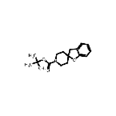 CC(C)(C)OC(=O)N1CCC2(CC1)Cc1ccccc1O2